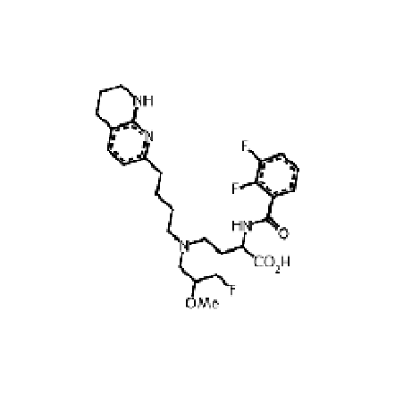 COC(CF)CN(CCCCc1ccc2c(n1)NCCC2)CCC(NC(=O)c1cccc(F)c1F)C(=O)O